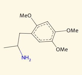 COc1cc(OC)c(OC)cc1CC(C)N